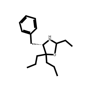 CCCC1(CCC)OC(CC)N[C@H]1Cc1ccccc1